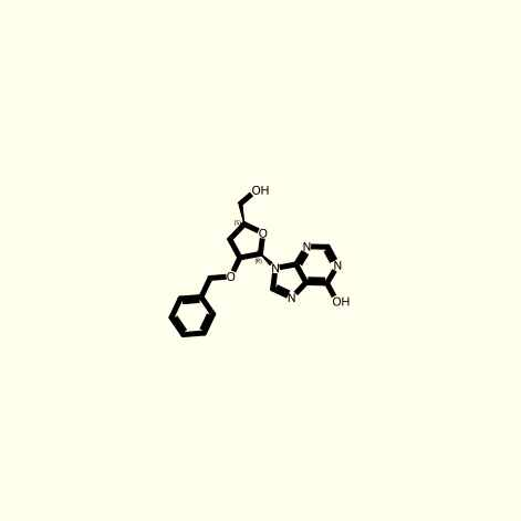 OC[C@@H]1CC(OCc2ccccc2)[C@H](n2cnc3c(O)ncnc32)O1